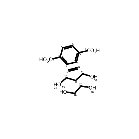 C=C.O=C(O)c1ccc(C(=O)O)cc1.OCCCO.OCCO